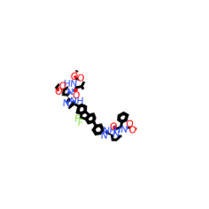 COC(=O)NC(C(=O)N1CCC[C@H]1c1nc2ccc(-c3ccc4c(c3)C(F)(F)c3cc(-c5cnc([C@@H]6CC7(CN6C(=O)[C@@H](NC(=O)OC)C(C)C)OCCO7)[nH]5)ccc3-4)cc2[nH]1)c1ccccc1